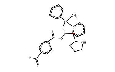 C[Si](C[C@H](C[C@@H]1CCCN1)OC(=O)c1ccc([N+](=O)[O-])cc1)(c1ccccc1)c1ccccc1